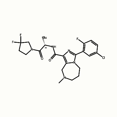 CN1CCCn2c(-c3cc(Cl)ccc3F)nc(C(=O)N[C@H](C(=O)N3CCC(F)(F)C3)C(C)(C)C)c2C1